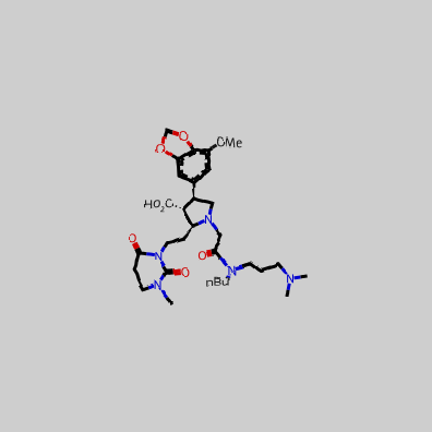 CCCCN(CCCN(C)C)C(=O)CN1C[C@H](c2cc(OC)c3c(c2)OCO3)[C@@H](C(=O)O)[C@@H]1CCN1C(=O)CCN(C)C1=O